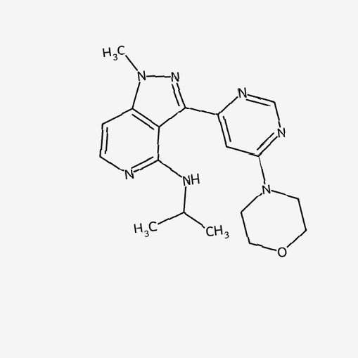 CC(C)Nc1nccc2c1c(-c1cc(N3CCOCC3)ncn1)nn2C